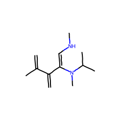 C=C(C)C(=C)/C(=C/NC)N(C)C(C)C